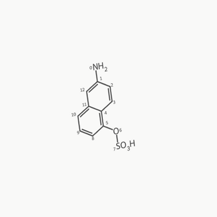 Nc1ccc2c(OS(=O)(=O)O)cccc2c1